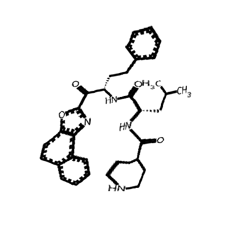 CC(C)C[C@H](NC(=O)C1CCNCC1)C(=O)N[C@@H](CCc1ccccc1)C(=O)c1nc2c(ccc3ccccc32)o1